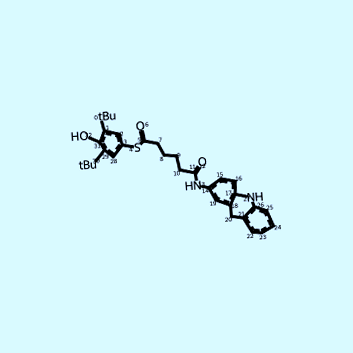 CC(C)(C)c1cc(SC(=O)CCCCC(=O)Nc2ccc3c(c2)Cc2ccccc2N3)cc(C(C)(C)C)c1O